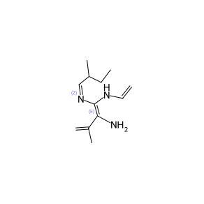 C=CNC(/N=C\C(C)CC)=C(\N)C(=C)C